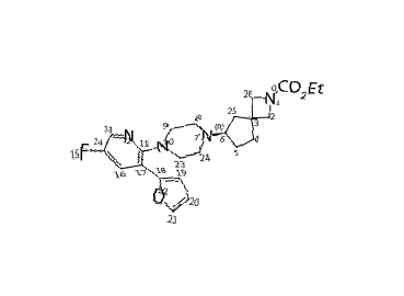 CCOC(=O)N1CC2(CC[C@@H](N3CCN(c4ncc(F)cc4-c4ccco4)CC3)C2)C1